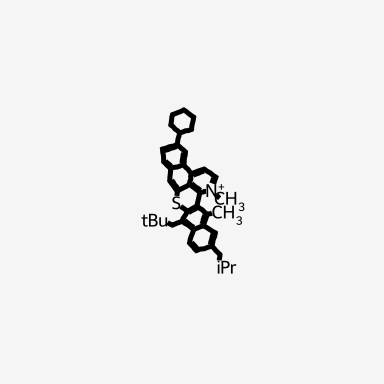 Cc1c2c(c(CC(C)(C)C)c3ccc(CC(C)C)cc13)Sc1cc3ccc(C4CCCCC4)cc3c3cc[n+](C)c-2c13